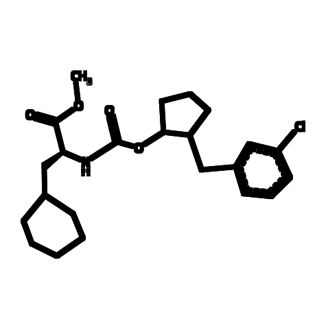 COC(=O)[C@H](CC1CCCCC1)NC(=O)OC1CCCC1Cc1cccc(Cl)c1